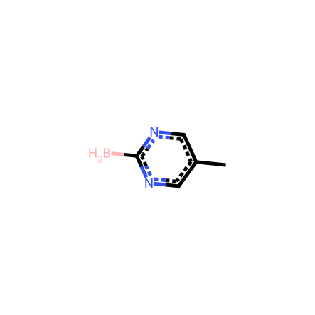 Bc1ncc(C)cn1